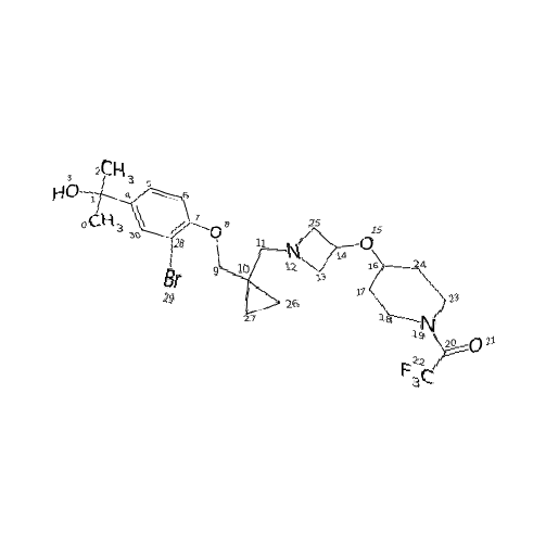 CC(C)(O)c1ccc(OCC2(CN3CC(OC4CCN(C(=O)C(F)(F)F)CC4)C3)CC2)c(Br)c1